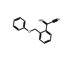 N#CC(=N)c1ccccc1COc1ccccc1